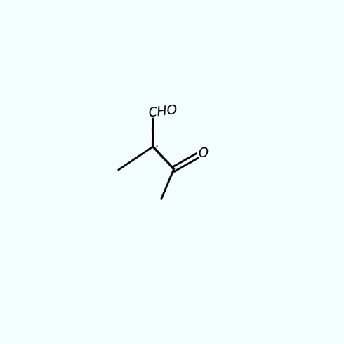 C[C](C=O)C(C)=O